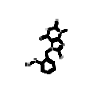 Cn1c(=O)[nH]c(=O)c2c1nc(Br)n2Cc1ccccc1OC(F)(F)F